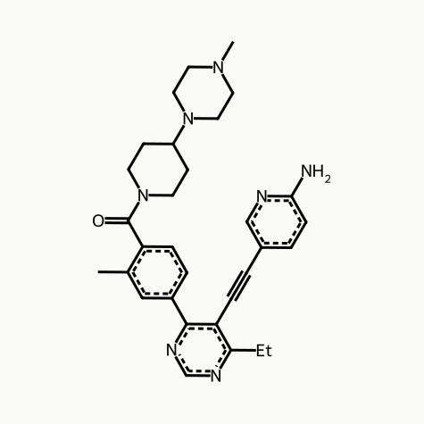 CCc1ncnc(-c2ccc(C(=O)N3CCC(N4CCN(C)CC4)CC3)c(C)c2)c1C#Cc1ccc(N)nc1